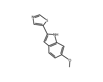 COc1ccc2cc(-c3cncs3)[nH]c2c1